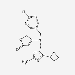 Cc1cc(CN(Cc2ccc(Cl)nc2)C2=CC(=O)OC2)n(C2CCC2)n1